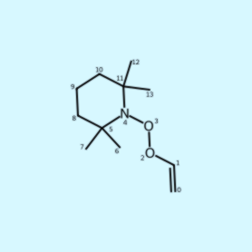 C=COON1C(C)(C)CCCC1(C)C